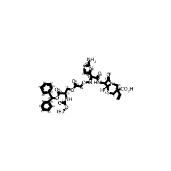 C=CC1(C(=O)O)CS[C@@H]2C(NC(=O)C(=NOCC(=O)OCC(NC(=O)OC(C)(C)C)C(=O)OC(c3ccccc3)c3ccccc3)c3csc(N)n3)C(=O)N2C1